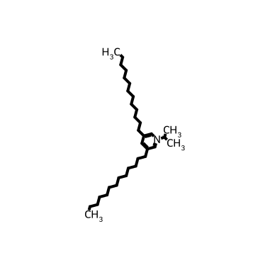 CCCCCCCCCCCCCc1cc(CCCCCCCCCCCCC)c[n+](C(C)C)c1